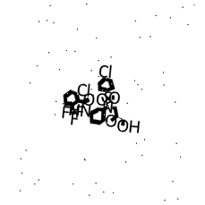 O=C(Nc1ccc2c(c1)N(S(=O)(=O)c1ccc(Cl)cc1)C[C@H](CO)O2)c1c(Cl)cccc1C(F)(F)F